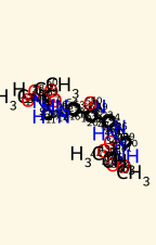 COC(=O)N[C@H](C(=O)N1CCC[C@H]1c1nc2cc(-c3ccc(-c4ccc5nc([C@@H]6CCCN6C(=O)[C@@H](NC(=O)OC)[C@@H](C)OC)[nH]c5c4)c4ncoc34)ccc2[nH]1)[C@@H](C)OC